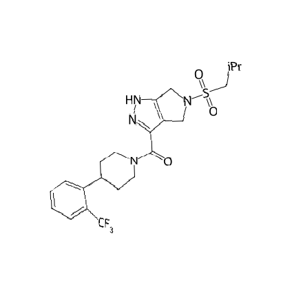 CC(C)CS(=O)(=O)N1Cc2[nH]nc(C(=O)N3CCC(c4ccccc4C(F)(F)F)CC3)c2C1